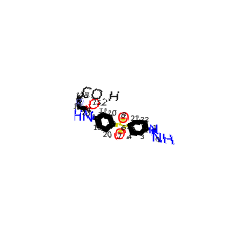 N=Nc1ccc(S(=O)(=O)c2ccc(NC(=O)/C=C\C(=O)O)cc2)cc1